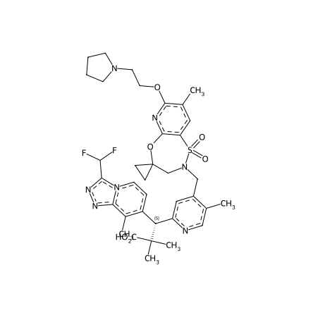 Cc1cnc([C@@H](c2ccn3c(C(F)F)nnc3c2C)C(C)(C)C(=O)O)cc1CN1CC2(CC2)Oc2nc(OCCN3CCCC3)c(C)cc2S1(=O)=O